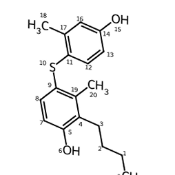 CCCCc1c(O)ccc(Sc2ccc(O)cc2C)c1C